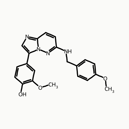 COc1ccc(CNc2ccc3ncc(-c4ccc(O)c(OC)c4)n3n2)cc1